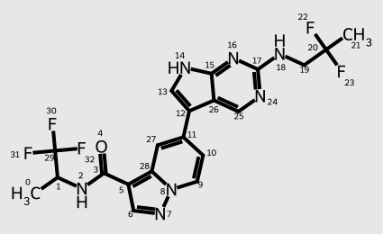 CC(NC(=O)c1cnn2ccc(-c3c[nH]c4nc(NCC(C)(F)F)ncc34)cc12)C(F)(F)F